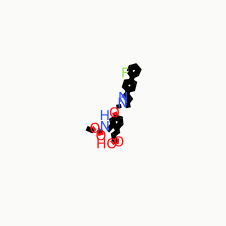 CCOC(=O)NCc1cc(OCCn2nc(-c3ccc(-c4ccccc4F)cc3)cc2C)ccc1CCC(=O)O